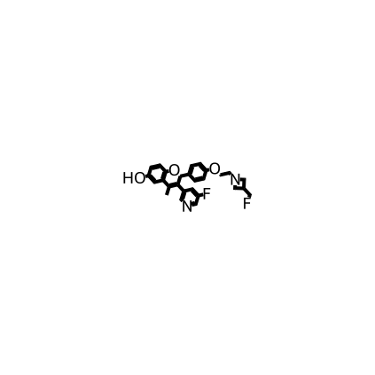 CC1=C(c2cncc(F)c2)C(c2ccc(OCCN3CC(CF)C3)cc2)Oc2ccc(O)cc21